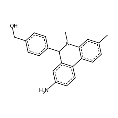 Cc1ccc2c(c1)N(C)C(c1ccc(CO)cc1)c1cc(N)ccc1-2